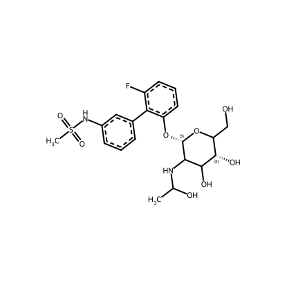 CC(O)NC1C(O)[C@@H](O)C(CO)O[C@H]1Oc1cccc(F)c1-c1cccc(NS(C)(=O)=O)c1